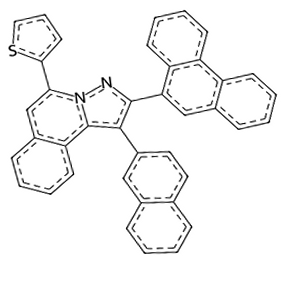 c1csc(-c2cc3ccccc3c3c(-c4ccc5ccccc5c4)c(-c4cc5ccccc5c5ccccc45)nn23)c1